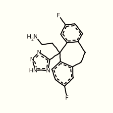 NCCC1(c2nn[nH]n2)c2ccc(F)cc2CCc2ccc(F)cc21